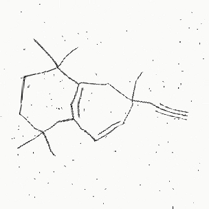 C#CC1(C)C=CC2=C(C1)C(C)(C)CCC2(C)C